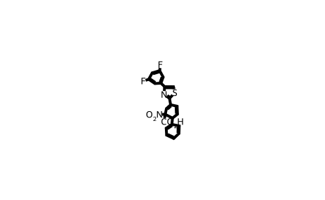 O=C(O)C1([N+](=O)[O-])C=C(c2nc(-c3cc(F)cc(F)c3)cs2)C=CC1c1ccccc1